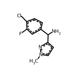 Cn1ccc(C(N)c2ccc(Cl)c(F)c2)n1